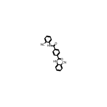 N#Cc1ccccc1NC(=O)c1ccc(C(=O)Nc2ccccc2C#N)cc1